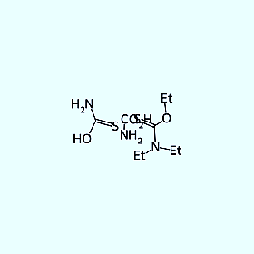 CCOC(=S)N(CC)CC.NC(=O)O.NC(O)=S